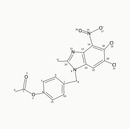 CC(=O)Oc1ccc(Cn2c(C)nc3c([N+](=O)[O-])c(Cl)c(Cl)cc32)cc1